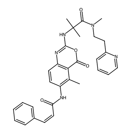 Cc1c(NC(=O)/C=C\c2ccccc2)ccc2nc(NC(C)(C)C(=O)N(C)CCc3ccccn3)oc(=O)c12